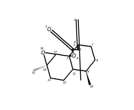 C=C1C(=O)O[C@@]23C1CC[C@@H](C)C2CC[C@@]1(C)OC31